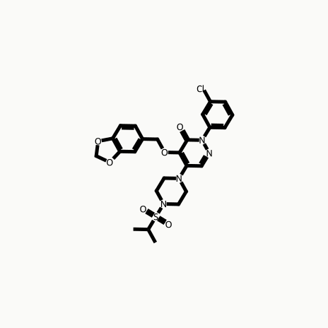 CC(C)S(=O)(=O)N1CCN(c2cnn(-c3cccc(Cl)c3)c(=O)c2OCc2ccc3c(c2)OCO3)CC1